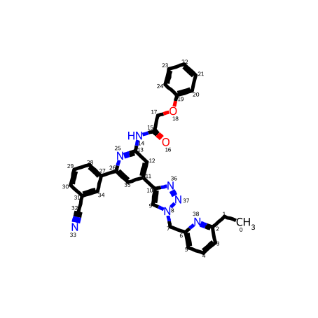 CCc1cccc(Cn2cc(-c3cc(NC(=O)COc4ccccc4)nc(-c4cccc(C#N)c4)c3)nn2)n1